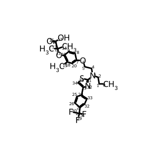 CCCN(CCOc1ccc(OC(C)(C)C(=O)O)c(C)c1)c1nc(-c2ccc(C(F)(F)F)cc2)cs1